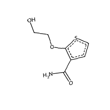 NC(=O)c1ccsc1OCCO